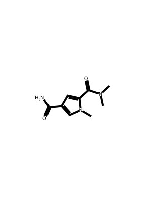 CN(C)C(=O)c1cc(C(N)=O)cn1C